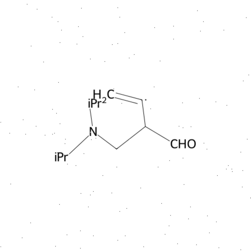 C=[C]C(C=O)CN(C(C)C)C(C)C